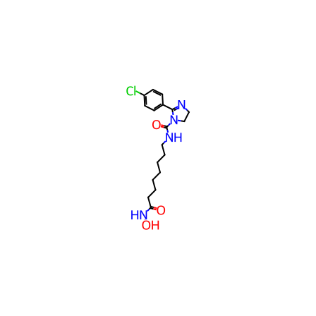 O=C(CCCCCCCNC(=O)N1CCN=C1c1ccc(Cl)cc1)NO